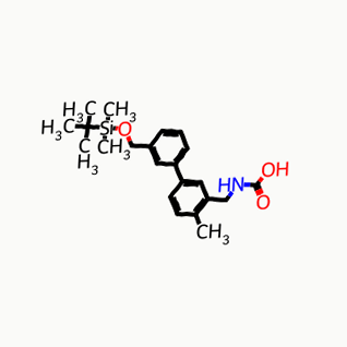 Cc1ccc(-c2cccc(CO[Si](C)(C)C(C)(C)C)c2)cc1CNC(=O)O